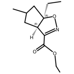 CCOC(=O)C1=NO[C@]2(CC)CC(C)C[C@H]12